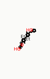 CCC(CC)(c1ccc(CCC2(O)CCCC2)c(C)c1)c1ccc(B(C)OC(C)(C)C(C)(C)O)c(C)c1